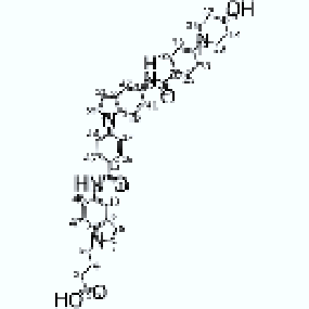 O=C(O)CCCn1ccc2cc(NC(=O)c3ccc(-n4ccc5cc(NC(=O)c6ccc(N7CCC(O)CC7)cc6)ccc54)cc3)ccc21